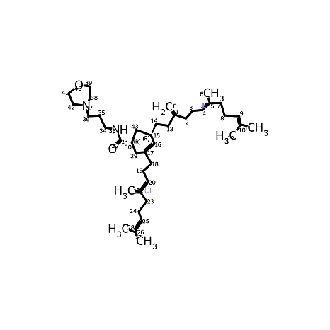 C=C(CC/C=C(\C)CCC=C(C)C)CC[C@H]1C=C(CC/C=C(\C)CCC=C(C)C)C[C@H](C(=O)NCCCN2CCOCC2)C1